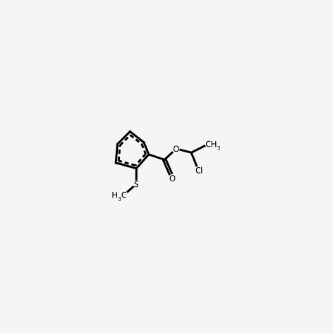 CSc1ccccc1C(=O)OC(C)Cl